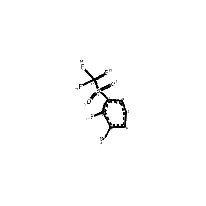 O=S(=O)(c1cccc(Br)c1F)C(F)(F)F